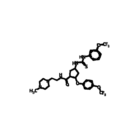 CN1CCN(CCNC(=O)C2CC(NC(=S)Nc3cccc(OC(F)(F)F)c3)CC2Oc2ccc(OC(F)(F)F)cc2)CC1